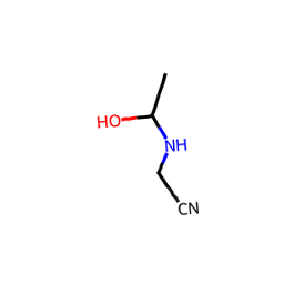 CC(O)NCC#N